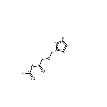 COCC(=O)OC(C)=O.c1ccsc1